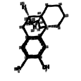 CCCc1cc2c(cc1O)[C@]13CCCC[C@@H]1[C@H](C2)NCC3